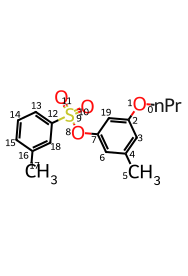 CCCOc1cc(C)cc(OS(=O)(=O)c2cccc(C)c2)c1